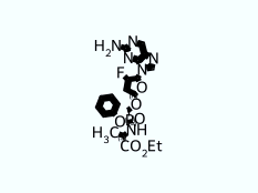 CCOC(=O)[C@H](C)N[P@](=O)(CO[C@@H]1C=C(F)C(n2cnc3cnc(N)nc32)O1)Oc1ccccc1